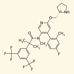 Cc1cc(F)ccc1-c1cc(OC[C@@H]2CCCN2)ncc1N(C)C(=O)C(C)(C)c1cc(C(F)(F)F)cc(C(F)(F)F)c1